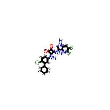 O=C1C(=O)C(Nc2c[nH]c3cc(F)c(F)nc23)C1Nc1ccc(Cl)c(C2CCCCC2)c1